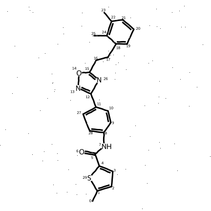 Cc1ccc(C(=O)Nc2ccc(-c3noc(CCc4cccc(C)c4C)n3)cc2)s1